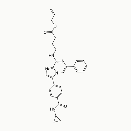 C=CCOC(=O)CCCNc1nc(-c2ccccc2)cn2c(-c3ccc(C(=O)NC4CC4)cc3)cnc12